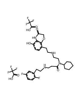 O=C(O)C(F)(F)F.O=C(O)C(F)(F)F.O=C1COc2c(CCNCCN(C(=O)CCNCCc3cc(F)ccc3F)C3CCCCC3)ccc(O)c2N1